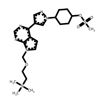 C[Si](C)(C)CCOCn1ccc2c(-c3cnn(C4CCC(OS(C)(=O)=O)CC4)c3)ncnc21